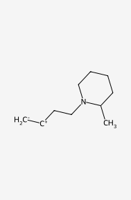 [CH2-][CH+]CCN1CCCCC1C